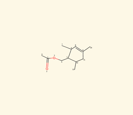 CC(=O)OCC1C(C)C=C(C)CC1C